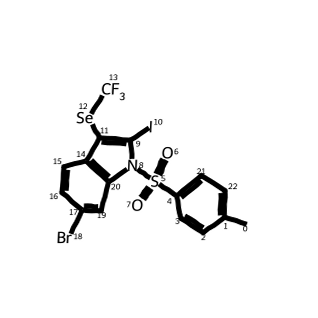 Cc1ccc(S(=O)(=O)n2c(I)c([Se]C(F)(F)F)c3ccc(Br)cc32)cc1